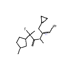 C=C(C(C)/C(=C/C(C)C)CC1CC1)C(C)(F)C1CCC(C)C1